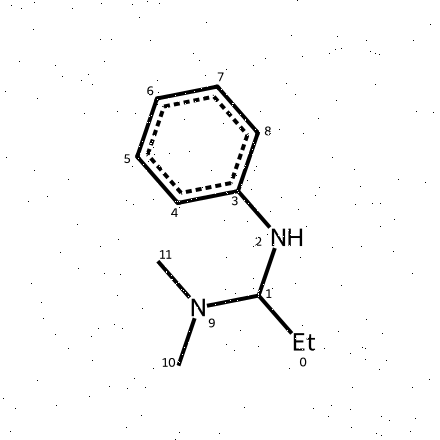 CCC(Nc1ccccc1)N(C)C